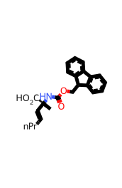 CCCC=C[C@@](C)(NC(=O)OCC1c2ccccc2-c2ccccc21)C(=O)O